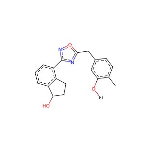 CCOc1cc(Cc2nc(-c3cccc4c3CCC4O)no2)ccc1C